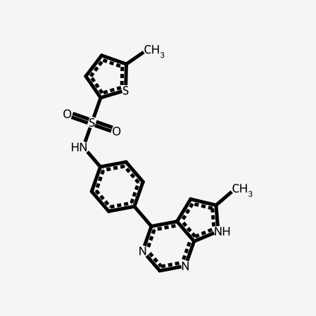 Cc1cc2c(-c3ccc(NS(=O)(=O)c4ccc(C)s4)cc3)ncnc2[nH]1